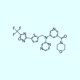 O=C(c1cncc(N(Cc2ccc(-c3noc(C(F)(F)F)n3)s2)c2cnccn2)c1)N1CCOCC1